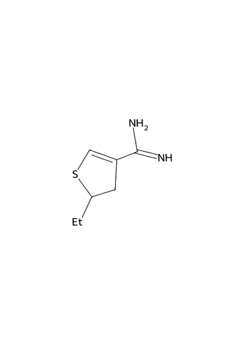 CCC1CC(C(=N)N)=CS1